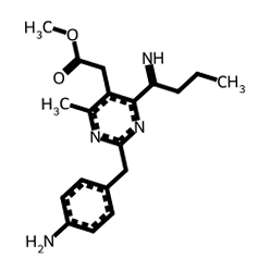 CCCC(=N)c1nc(Cc2ccc(N)cc2)nc(C)c1CC(=O)OC